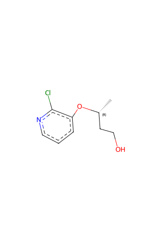 C[C@H](CCO)Oc1cccnc1Cl